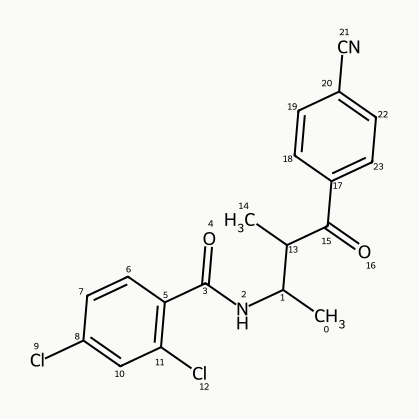 CC(NC(=O)c1ccc(Cl)cc1Cl)C(C)C(=O)c1ccc(C#N)cc1